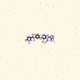 CCn1c(-c2nonc2N)nc2cnc(Oc3cccc(NC(=O)c4ccc(=O)[nH]c4)c3)cc21